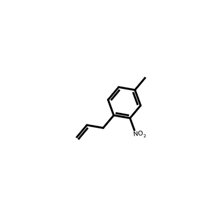 C=CCc1ccc(C)cc1[N+](=O)[O-]